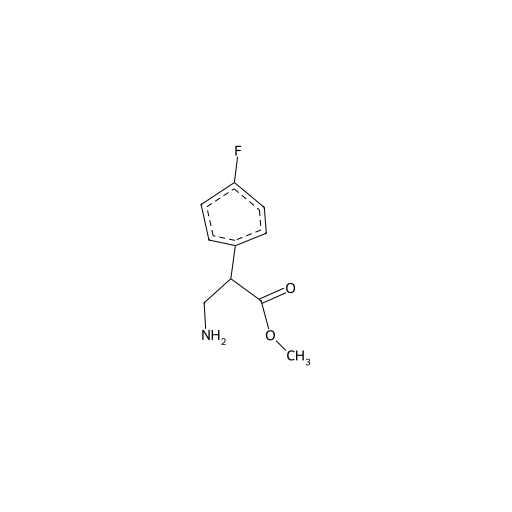 COC(=O)C(CN)c1ccc(F)cc1